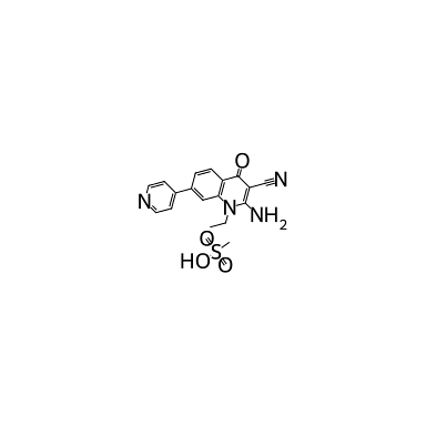 CCn1c(N)c(C#N)c(=O)c2ccc(-c3ccncc3)cc21.CS(=O)(=O)O